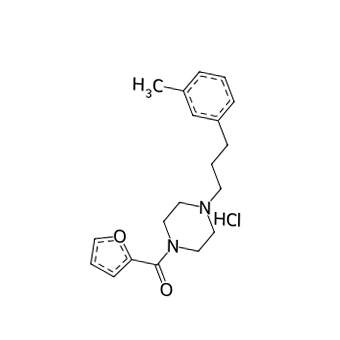 Cc1cccc(CCCN2CCN(C(=O)c3ccco3)CC2)c1.Cl